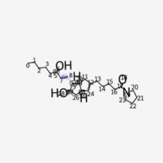 CCCCC[C@@H](O)/C=C/[C@@H]1[C@H]2CC(CCCCC(=O)N3CCCC3)=C[C@H]2C[C@H]1O